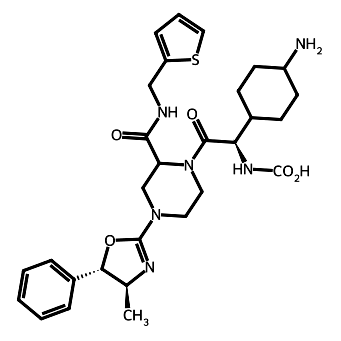 C[C@@H]1N=C(N2CCN(C(=O)[C@H](NC(=O)O)C3CCC(N)CC3)C(C(=O)NCc3cccs3)C2)O[C@H]1c1ccccc1